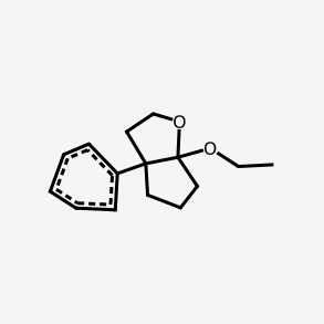 CCOC12CCCC1(c1ccccc1)CCO2